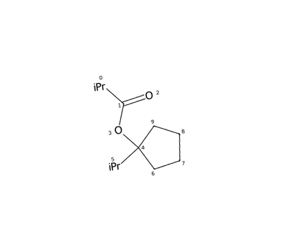 CC(C)C(=O)OC1(C(C)C)CCCC1